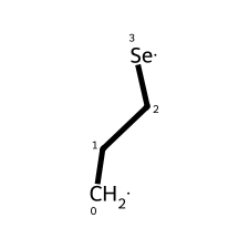 [CH2]CC[Se]